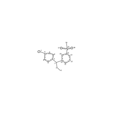 CCC(c1ccc(Cl)cc1)c1cccc(S(C)(=O)=O)c1